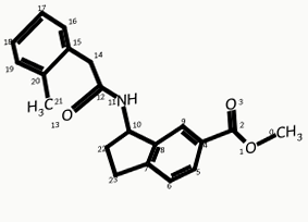 COC(=O)c1ccc2c(c1)C(NC(=O)Cc1ccccc1C)CC2